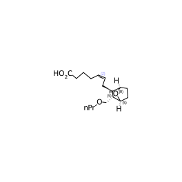 CCCOC[C@@H]1[C@@H](C/C=C\CCCC(=O)O)[C@H]2CC[C@@H]1O2